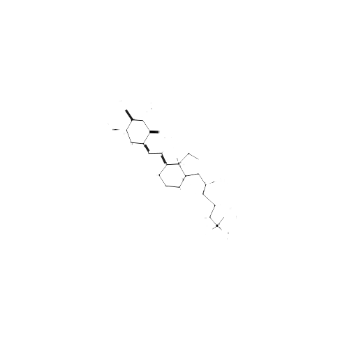 C=C1/C(=C\C=C2/CCC[C@]3(C)[C@@H]([C@@H](C)CCCC(C)(C)O)CC[C@@H]23)C[C@@H](O)C(=C)[C@@H]1O